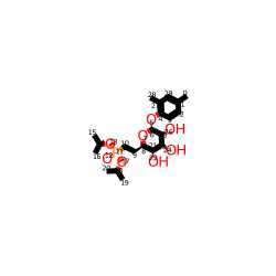 Cc1ccc(O[C@H]2O[C@H](CCP(=O)(OC(C)C)OC(C)C)[C@@H](O)[C@H](O)[C@@H]2O)c(C)c1